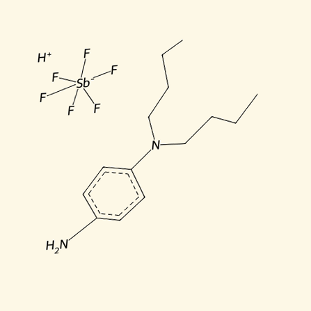 CCCCN(CCCC)c1ccc(N)cc1.[F][Sb-]([F])([F])([F])([F])[F].[H+]